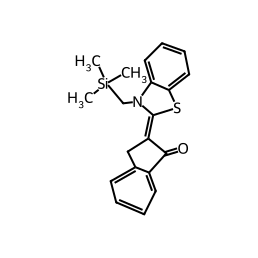 C[Si](C)(C)CN1C(=C2Cc3ccccc3C2=O)Sc2ccccc21